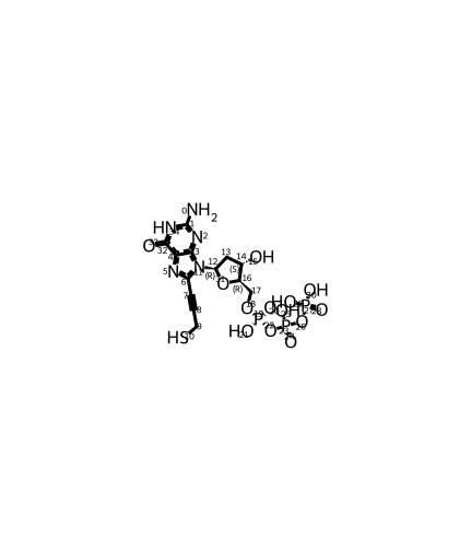 Nc1nc2c(nc(C#CCS)n2[C@H]2C[C@H](O)[C@@H](COP(=O)(O)OP(=O)(O)OP(=O)(O)O)O2)c(=O)[nH]1